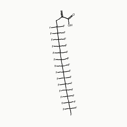 C=C(CC(F)(F)C(F)(F)C(F)(F)C(F)(F)C(F)(F)C(F)(F)C(F)(F)C(F)(F)C(F)(F)C(F)(F)C(F)(F)C(F)(F)C(F)(F)C(F)(F)F)C(=O)O